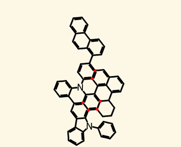 c1ccc(-n2c3ccccc3c3cc(-c4ccccc4N(c4ccc(-c5cccc6c5ccc5ccccc56)cc4)c4ccccc4-c4cccc5cccc(C6CCCCC6)c45)ccc32)cc1